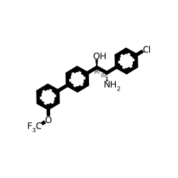 N[C@@H](c1ccc(Cl)cc1)[C@H](O)c1ccc(-c2cccc(OC(F)(F)F)c2)cc1